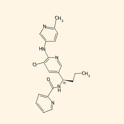 CCC[C@@H](NC(=O)c1ccccn1)c1cnc(Nc2ccc(C)nc2)c(Cl)c1